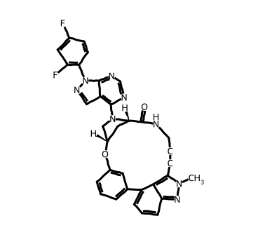 Cn1nc2cccc3c2c1CCCNC(=O)[C@@H]1C[C@@H](CN1c1ncnc2c1cnn2-c1ccc(F)cc1F)Oc1cccc-3c1